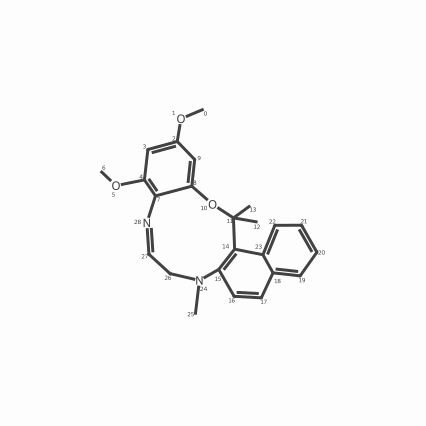 COc1cc(OC)c2c(c1)OC(C)(C)c1c(ccc3ccccc13)N(C)C/C=N\2